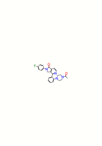 CC(=O)N1CCN(c2ccccc2-c2nccc3c2CN(c2ccc(F)cc2)C3=O)CC1